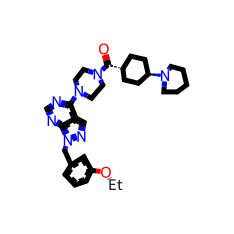 CCOc1cccc(Cn2ncc3c(N4CCN(C(=O)[C@H]5CC[C@H](N6CCCCC6)CC5)CC4)ncnc32)c1